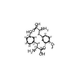 COc1ccc(CC(N)C(=O)O)cc1.NC(Cc1cccc(O)c1)C(=O)O